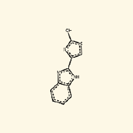 Oc1nc(-c2nc3ccccc3[nH]2)cs1